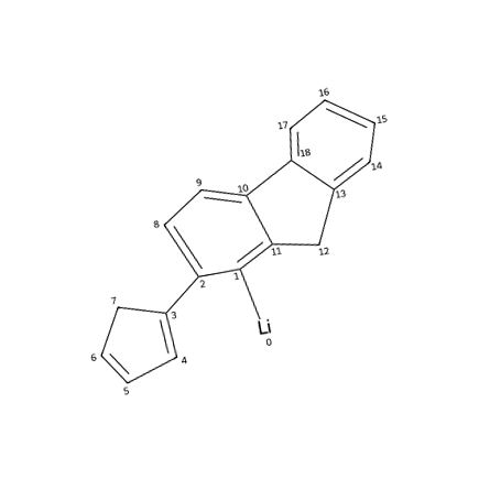 [Li][c]1c(C2=CC=CC2)ccc2c1Cc1ccccc1-2